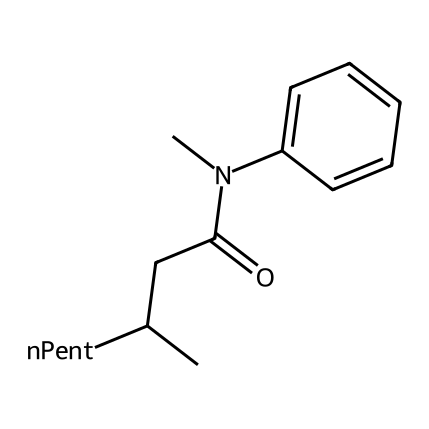 CCCCCC(C)CC(=O)N(C)c1ccccc1